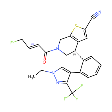 CCn1cc(-c2ccccc2[C@@H]2CN(C(=O)/C=C/CF)Cc3sc(C#N)cc32)c(C(F)(F)F)n1